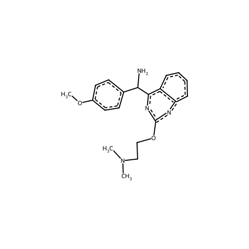 COc1ccc(C(N)c2nc(OCCN(C)C)nc3ccccc23)cc1